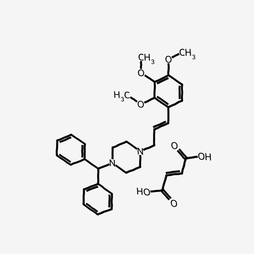 COc1ccc(/C=C/CN2CCN(C(c3ccccc3)c3ccccc3)CC2)c(OC)c1OC.O=C(O)/C=C/C(=O)O